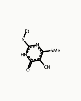 CCSc1nc(SC)c(C#N)c(=O)[nH]1